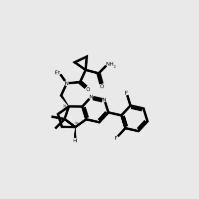 CCN(C[C@@]12CC[C@@H](c3cc(-c4c(F)cccc4F)nnc31)C2(C)C)C(=O)C1(C(N)=O)CC1